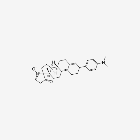 CN(C)c1ccc(C2C=C3CC[C@@H]4C(=C3CC2)CC[C@@]2(C)[C@H]4CCC23C(=O)CC=[N+]3[O-])cc1